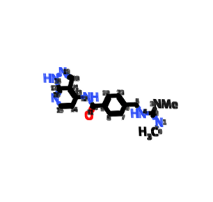 C/N=C(/NC)NCc1ccc(C(=O)Nc2ccnc3[nH]ncc23)cc1